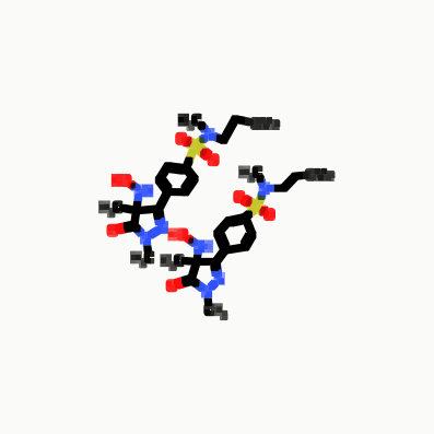 COCCN(C)S(=O)(=O)c1ccc(C2=NN(C)C(=O)C2(C)NO)cc1.COCCN(C)S(=O)(=O)c1ccc(C2=NN(C)C(=O)C2(C)NO)cc1